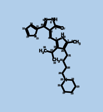 Cc1[nH]c(C=C2C(=O)NN=C2c2cccs2)c(C(C)C)c1CCCCN1CCCCC1